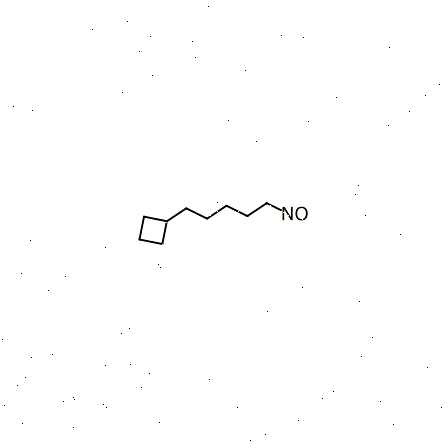 O=NCCCCCC1CCC1